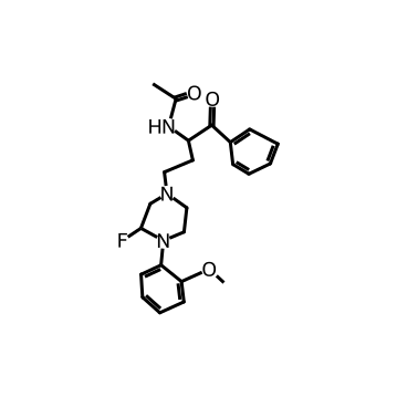 COc1ccccc1N1CCN(CCC(NC(C)=O)C(=O)c2ccccc2)CC1F